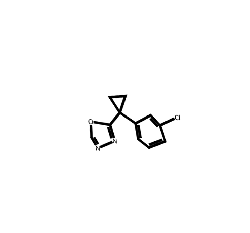 Clc1cccc(C2(c3nnco3)CC2)c1